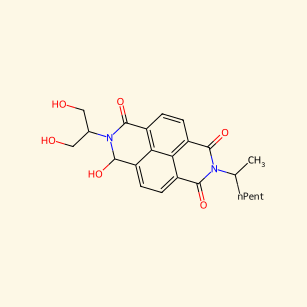 CCCCCC(C)N1C(=O)c2ccc3c4c(ccc(c24)C1=O)C(O)N(C(CO)CO)C3=O